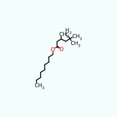 CCCCCCCCCOC(=O)CC(C)CC(C)(C)C